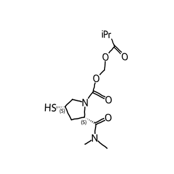 CC(C)C(=O)OCOC(=O)N1C[C@@H](S)C[C@H]1C(=O)N(C)C